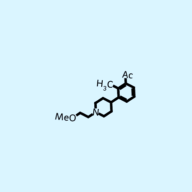 COCCN1CCC(c2cccc(C(C)=O)c2C)CC1